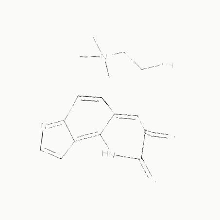 C[N+](C)(C)CCO.O=C1C=c2ccc3c(c2NC1=O)C=CN=3